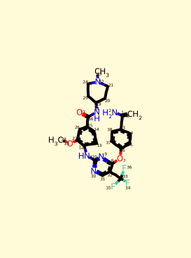 C=C(N)c1ccc(Oc2nc(Nc3ccc(C(=O)NC4CCN(C)CC4)cc3OC)ncc2C(F)(F)F)cc1